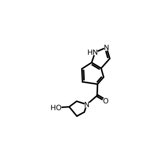 O=C(c1ccc2[nH]ncc2c1)N1CCC(O)C1